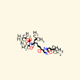 CC(C)C[C@H](CC=CC(=O)c1cnc2oc(C(C)(C)C)cc2n1)[C@@H]1COC(C)(C)N1C(=O)OC(C)(C)C